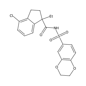 CCC1(C(=O)NS(=O)(=O)c2ccc3c(c2)OCCO3)CCc2c(Cl)cccc21